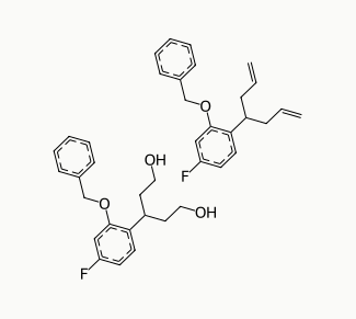 C=CCC(CC=C)c1ccc(F)cc1OCc1ccccc1.OCCC(CCO)c1ccc(F)cc1OCc1ccccc1